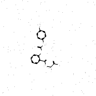 C[C@@H](NC(=O)c1ccccc1SC(=O)Nc1ccc(N=O)cc1)C(N)=O